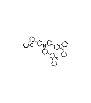 c1ccc(-n2c3ccccc3c3cc(-c4cccc(N(c5ccc(-c6cccc7c6oc6ccccc67)cc5)c5cccc(-c6ccc7sc8ccccc8c7c6)c5)c4)ccc32)cc1